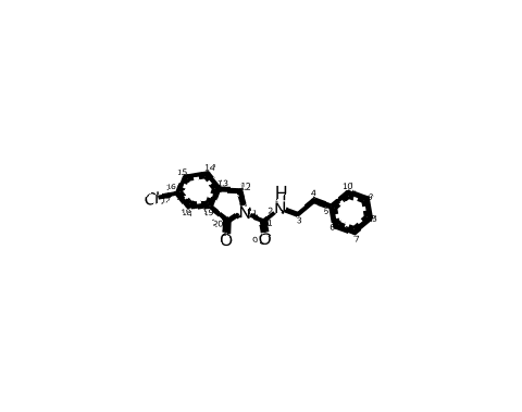 O=C(NCCc1ccccc1)N1Cc2ccc(Cl)cc2C1=O